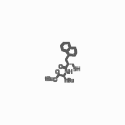 CCCC[C@H](NC(=O)[C@@H](CS)Cc1cccc2ccccc12)C(=O)OC(C)(C)C